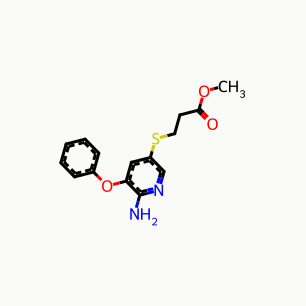 COC(=O)CCSc1cnc(N)c(Oc2ccccc2)c1